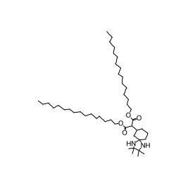 CCCCCCCCCCCCCCCCOC(=O)C(C(=O)OCCCCCCCCCCCCCCCC)C1CCCC2(C1)NC(C)(C)C(C)(C)N2